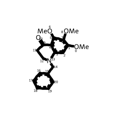 COc1cc2c(c(OC)c1OC)C(=O)CCN2Cc1ccccc1